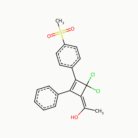 CC(O)=C1C(c2ccccc2)=C(c2ccc(S(C)(=O)=O)cc2)C1(Cl)Cl